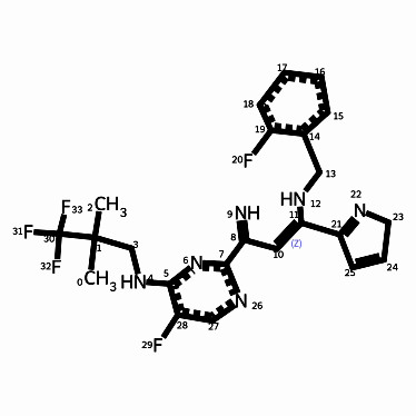 CC(C)(CNc1nc(C(=N)/C=C(\NCc2ccccc2F)C2=NCC=C2)ncc1F)C(F)(F)F